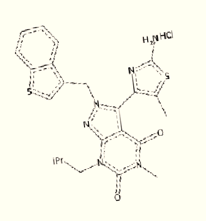 Cc1sc(N)nc1-c1c2c(=O)n(C)c(=O)n(CC(C)C)c2nn1Cc1csc2ccccc12.Cl